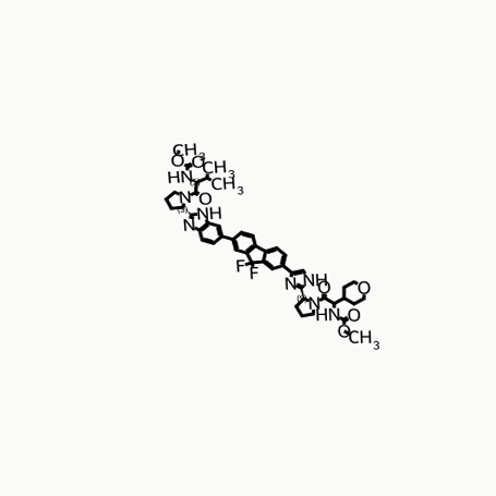 COC(=O)NC(C(=O)N1CCC[C@H]1c1nc(-c2ccc3c(c2)C(F)(F)c2cc(-c4ccc5nc([C@@H]6CCCN6C(=O)[C@@H](NC(=O)OC)C(C)C)[nH]c5c4)ccc2-3)c[nH]1)C1CCOCC1